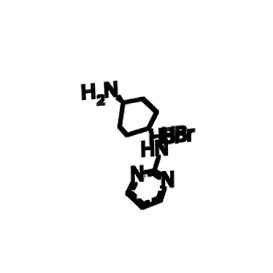 Br.Br.N[C@H]1CC[C@H](Nc2ncccn2)CC1